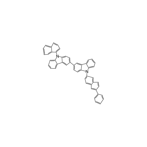 c1ccc(-c2ccc3cc(-n4c5ccccc5c5cc(-c6ccc7c(c6)c6ccccc6n7-c6cccc7ccccc67)ccc54)ccc3c2)cc1